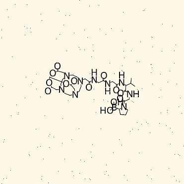 CC(C)[C@H](NC(=O)CNC(=O)CNC(=O)CN1CCN2CCN3CCN(CC1)CC(=O)OC(OC(=O)C2)OC(=O)C3)C(=O)N[C@H](C)C(=O)N1CCC[C@H]1B(O)O